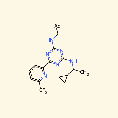 CC(=O)CNc1nc(NC(C)C2CC2)nc(-c2cccc(C(F)(F)F)n2)n1